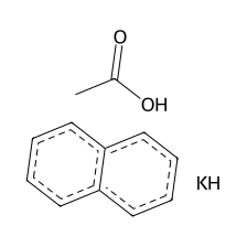 CC(=O)O.[KH].c1ccc2ccccc2c1